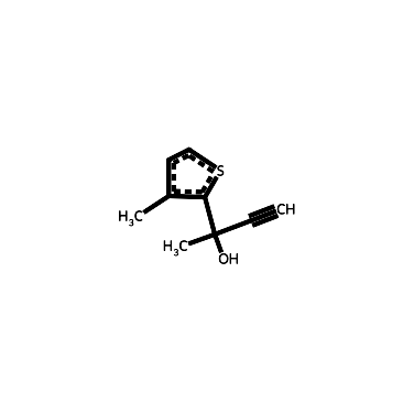 C#CC(C)(O)c1sccc1C